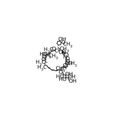 CO[C@@H]1C[C@H](C[C@@H](C)[C@@H]2CC(=O)[C@H](C)/C=C(\C)[C@@H](O)[C@@H](OC)C(=O)[C@H](C)C[C@H](C)/C=C/C=C/C=C(\C)C(OC[C@@H](O)[C@@H](O)[C@H](O)[C@@H](O)CO)C[C@@H]3CC[C@@H](C)[C@@](O)(O3)C(=O)C(=O)N3CCCC[C@H]3C(=O)O2)CC[C@H]1O